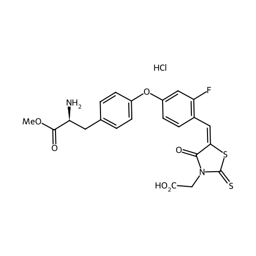 COC(=O)[C@@H](N)Cc1ccc(Oc2ccc(C=C3SC(=S)N(CC(=O)O)C3=O)c(F)c2)cc1.Cl